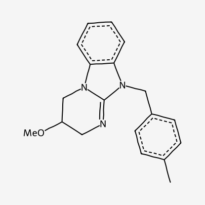 COC1CN=C2N(Cc3ccc(C)cc3)c3ccccc3N2C1